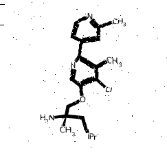 Cc1cc(-c2ncc(OC[C@@](C)(N)CC(C)C)c(Cl)c2C)ccn1